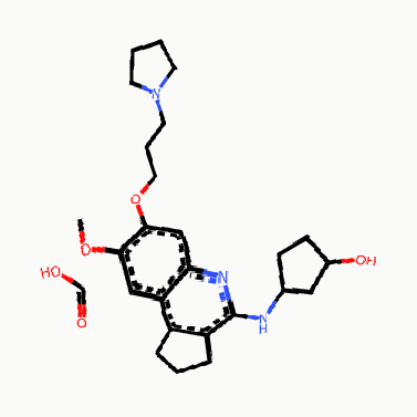 COc1cc2c3c(c(NC4CCC(O)C4)nc2cc1OCCCN1CCCC1)CCC3.O=CO